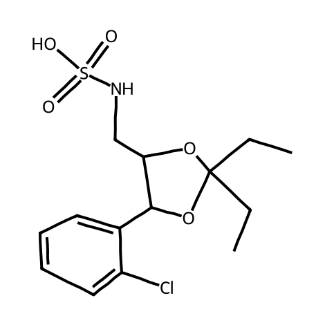 CCC1(CC)OC(CNS(=O)(=O)O)C(c2ccccc2Cl)O1